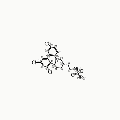 CCC(C)S(=O)(=O)NCC[C@@H]1CC[C@@H](c2ccc(Cl)cc2Cl)N(c2ccc(Cl)cc2)C1